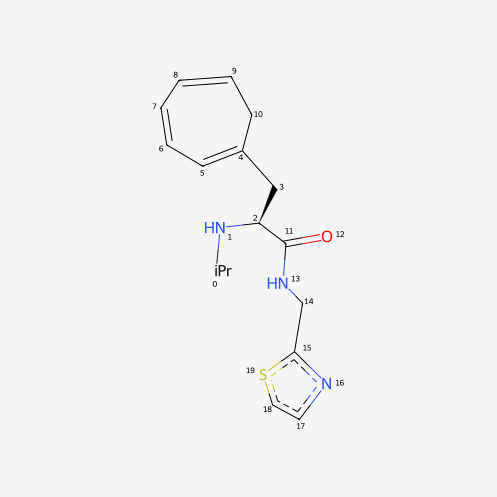 CC(C)N[C@@H](CC1=CC=CC=CC1)C(=O)NCc1nccs1